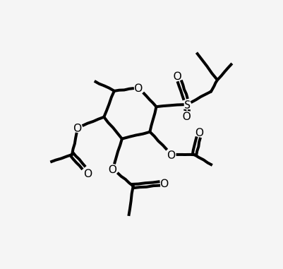 CC(=O)OC1C(C)OC(S(=O)(=O)CC(C)C)C(OC(C)=O)C1OC(C)=O